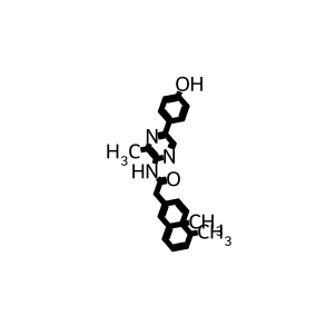 Cc1nc(-c2ccc(O)cc2)cnc1NC(=O)CC1=CC2=CC=CC(C)C2(C)C=C1